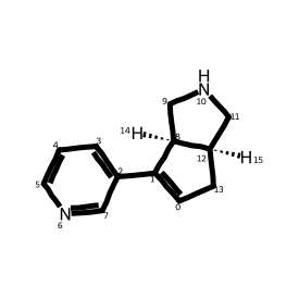 C1=C(c2cccnc2)[C@H]2CNC[C@H]2C1